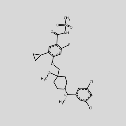 COC1(COc2cc(F)c(C(=O)NS(C)(=O)=O)cc2C2CC2)CCN([C@@H](C)c2cc(Cl)cc(Cl)c2)CC1